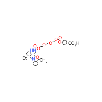 C=Cc1ccccc1N(Cc1ccccc1CC)C(=O)CCNC(=O)OCCOCCOCCOC(=O)Oc1ccc(C(=O)O)cc1